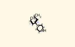 C=C/C=C(\C=C/C)N1CCNCC1